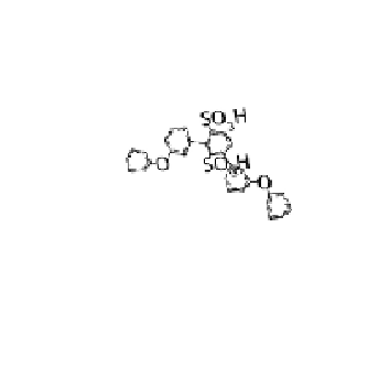 O=S(=O)(O)c1ccc(-c2cccc(Oc3ccccc3)c2)c(S(=O)(=O)O)c1-c1cccc(Oc2ccccc2)c1